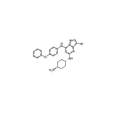 N[C@H]1CC[C@H](Nc2cc(Nc3ccc(Oc4ccccc4)cc3)n3ncc(Br)c3n2)CC1